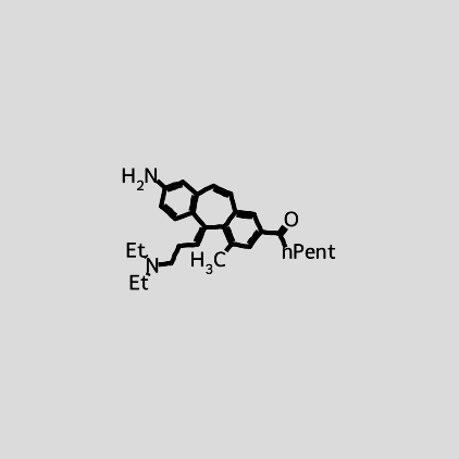 CCCCCC(=O)c1cc(C)c2c(c1)C=Cc1cc(N)ccc1/C2=C\CCN(CC)CC